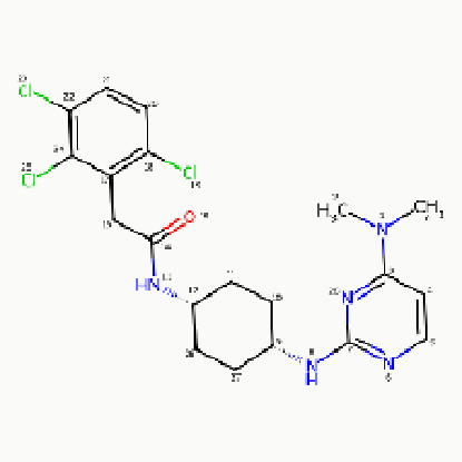 CN(C)c1ccnc(N[C@H]2CC[C@@H](NC(=O)Cc3c(Cl)ccc(Cl)c3Cl)CC2)n1